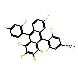 COc1cc(F)c(-c2c3cc(F)ccc3c(-c3ccc(F)cc3F)c3c(F)c(F)c(F)c(F)c23)c(F)c1